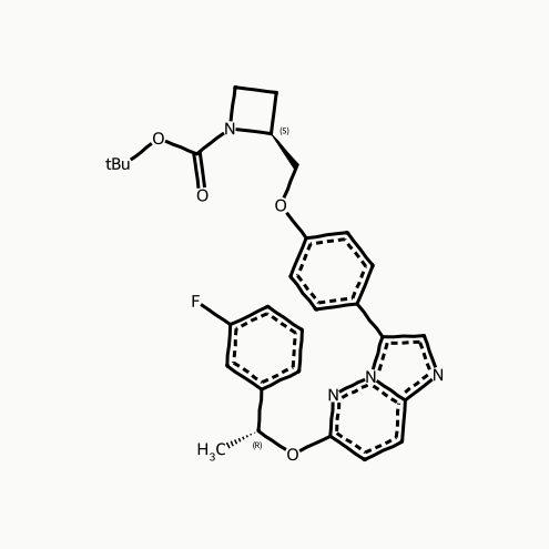 C[C@@H](Oc1ccc2ncc(-c3ccc(OC[C@@H]4CCN4C(=O)OC(C)(C)C)cc3)n2n1)c1cccc(F)c1